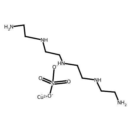 NCCNCCNCCNCCN.O=S(=O)([O-])[O-].[Cu+2]